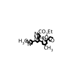 CCOC(=O)c1cc2c(-c3cc(C)cc([C@@]4(OC)CCOC4)n3)cc(-c3cnn(C)c3)n2cn1